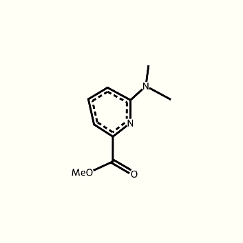 COC(=O)c1cccc(N(C)C)n1